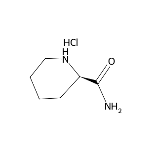 Cl.NC(=O)[C@H]1CCCCN1